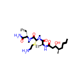 C/C=C/C[C@@H](C)[C@@H](O)CC(=O)N[C@@H](CC)C(=O)N(C)[C@H](SCCN)C(=O)N(C)[C@@H](CC(C)C)C(N)=O